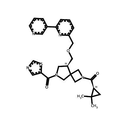 CC1(C)C[C@@H]1C(=O)N1CC2(CN(C(=O)c3cncs3)C[C@H]2COCc2cccc(-c3cccnc3)n2)C1